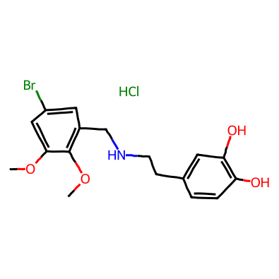 COc1cc(Br)cc(CNCCc2ccc(O)c(O)c2)c1OC.Cl